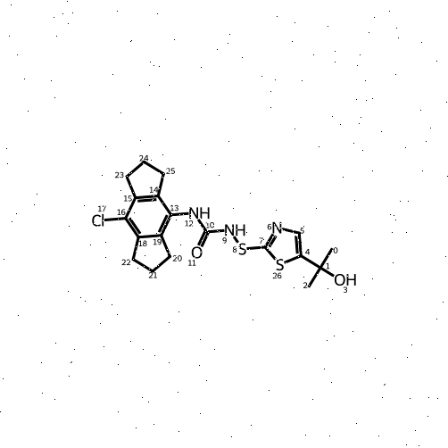 CC(C)(O)c1cnc(SNC(=O)Nc2c3c(c(Cl)c4c2CCC4)CCC3)s1